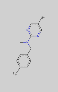 CC(C)c1cnc(N(C)Cc2ccc(C(F)(F)F)cc2)nc1